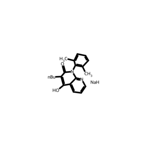 CCCCc1c(O)c2cccnc2n(-c2c(C)cccc2C)c1=O.[NaH]